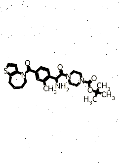 Cc1cc(C(=O)N2CCCCc3sccc32)ccc1C(N)C(=O)N1CCN(C(=O)OC(C)(C)C)CC1